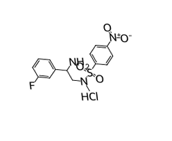 CN(CC(N)c1cccc(F)c1)S(=O)(=O)c1ccc([N+](=O)[O-])cc1.Cl